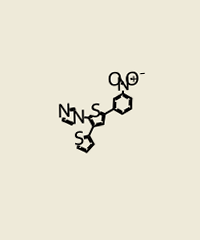 O=[N+]([O-])c1cccc(-c2cc(-c3cccs3)c(-n3ccnc3)s2)c1